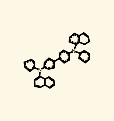 C1=CC2C=CC=C(N(c3ccccc3)c3ccc(-c4ccc(N(c5ccccc5)c5cccc6c5CCC=C6)cc4)cc3)C2C=C1